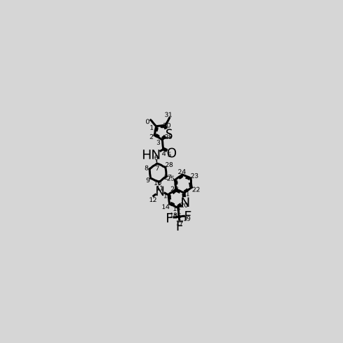 Cc1cc(C(=O)N[C@H]2CC[C@@H](N(C)c3cc(C(F)(F)F)nc4ccccc34)CC2)sc1C